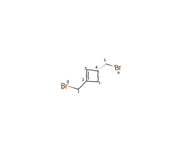 BrCC1=C[C@H](CBr)C1